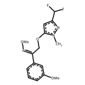 CON=C(COc1cc(C(F)F)nn1C)c1cccc(OC)c1